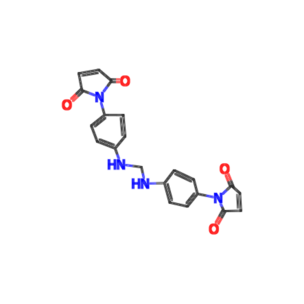 O=C1C=CC(=O)N1c1ccc(NCNc2ccc(N3C(=O)C=CC3=O)cc2)cc1